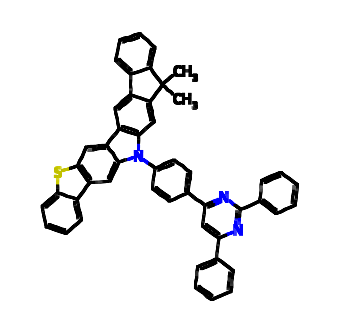 CC1(C)c2ccccc2-c2cc3c4cc5sc6ccccc6c5cc4n(-c4ccc(-c5cc(-c6ccccc6)nc(-c6ccccc6)n5)cc4)c3cc21